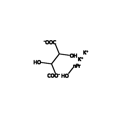 CCCO.O=C([O-])C(O)C(O)C(=O)[O-].[K+].[K+]